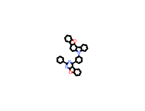 c1ccc(-c2nc(-c3cccc(-n4c5ccccc5c5c6oc7ccccc7c6ccc54)c3)c3c(n2)oc2ccccc23)cc1